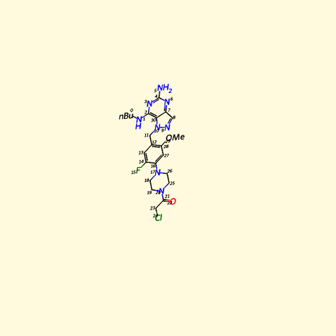 CCCCNc1nc(N)nc2cnn(Cc3cc(F)c(N4CCN(C(=O)CCl)CC4)cc3OC)c12